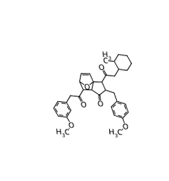 COc1ccc(CC2C(=O)C3C(C(=O)Cc4cccc(OC)c4)C4C=CC3(O4)C2C(=O)CC2CCCCC2C)cc1